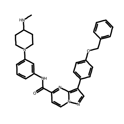 CNC1CCN(c2cccc(NC(=O)c3ccn4ncc(-c5ccc(OCc6ccccc6)cc5)c4n3)c2)CC1